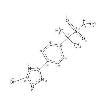 CCCNS(=O)(=O)C(C)(C)c1ccc(-c2noc(Br)n2)cc1